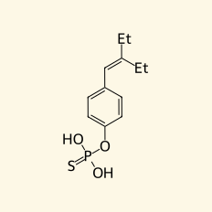 CCC(=Cc1ccc(OP(O)(O)=S)cc1)CC